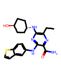 CCc1nc(C(N)=O)c(Nc2ccc3sccc3c2)nc1N[C@H]1CC[C@H](O)CC1